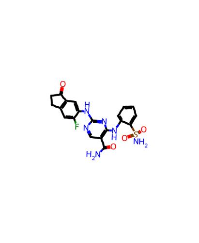 NC(=O)c1cnc(Nc2cc3c(cc2F)CCC3=O)nc1Nc1ccccc1S(N)(=O)=O